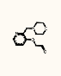 O=CCOc1cccnc1CN1CCOCC1